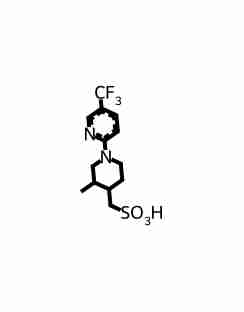 CC1CN(c2ccc(C(F)(F)F)cn2)CCC1CS(=O)(=O)O